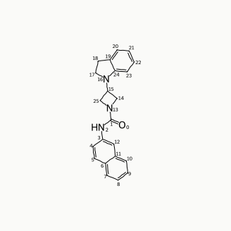 O=C(Nc1ccc2ccccc2c1)N1CC(N2CCc3ccccc32)C1